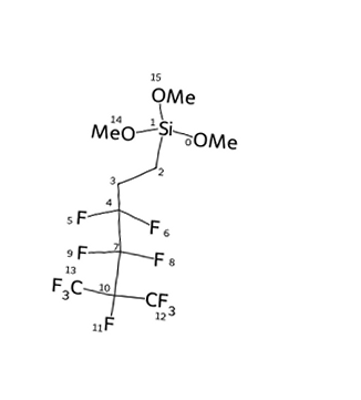 CO[Si](CCC(F)(F)C(F)(F)C(F)(C(F)(F)F)C(F)(F)F)(OC)OC